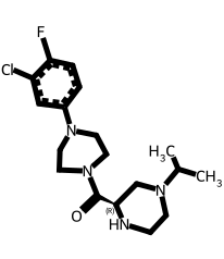 CC(C)N1CCN[C@@H](C(=O)N2CCN(c3ccc(F)c(Cl)c3)CC2)C1